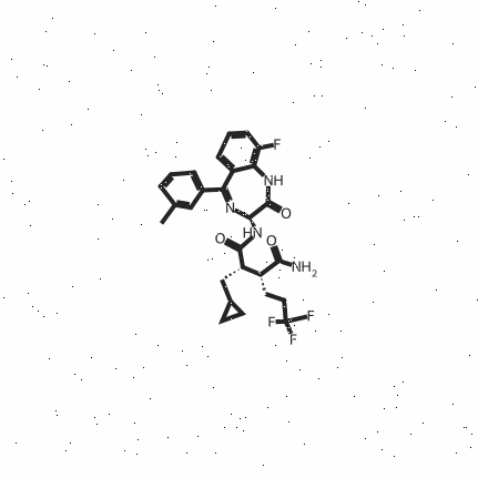 Cc1cccc(C2=N[C@H](NC(=O)[C@@H](CC3CC3)[C@@H](CCC(F)(F)F)C(N)=O)C(=O)Nc3c(F)cccc32)c1